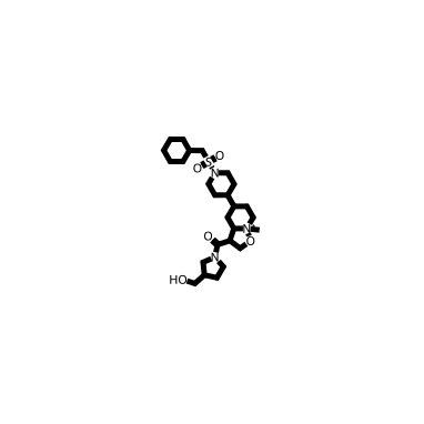 C[N+]12CCC(C3CCN(S(=O)(=O)CC4CCCCC4)CC3)CC1C(C(=O)N1CCC(CO)C1)CO2